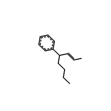 CC=CC(CCCC)c1ccccc1